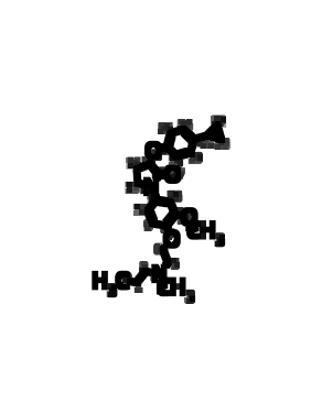 CCCN(C)CCOc1ccc(N2CC[C@H](Oc3ccc(C4CC4)cc3)C2=O)cc1OC